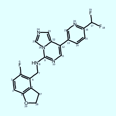 Fc1ccc2c(c1CNc1ncc(-c3ccc(C(F)F)nc3)c3cncn13)CCO2